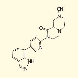 N#CN1CCN2CCN(c3ccc(-c4cccc5cn[nH]c45)cn3)C(=O)C2C1